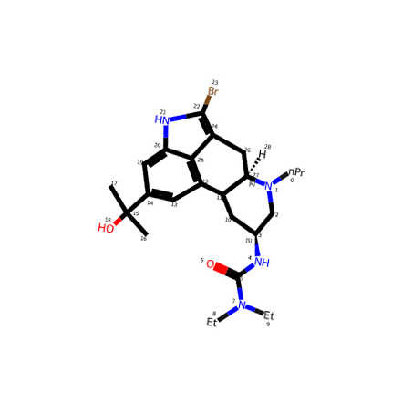 CCCN1C[C@@H](NC(=O)N(CC)CC)CC2c3cc(C(C)(C)O)cc4[nH]c(Br)c(c34)C[C@H]21